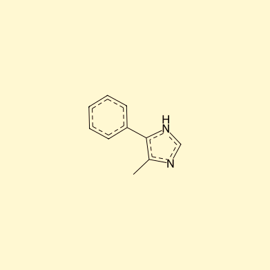 Cc1nc[nH]c1-c1ccccc1